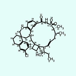 CC[C@@H](O)[C@@H]1/C=C/C[C@H](C)[C@@H](C)S(=O)(=O)NC(=O)c2ccc3c(c2)N(C[C@@H]2CC[C@H]21)C[C@@]1(CCCc2cc(Cl)ccc21)CO3